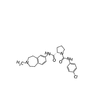 CN1CCc2ccc(NC(=O)[C@@H]3CCCN3C(=O)Nc3ccc(Cl)cc3)cc2CC1